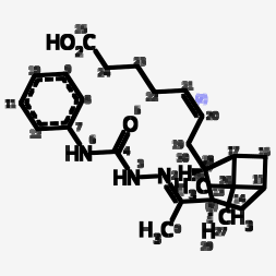 CC(=NNC(=O)Nc1ccccc1)[C@@H]1CC2CC([C@H]1C/C=C\CCCC(=O)O)C2(C)C